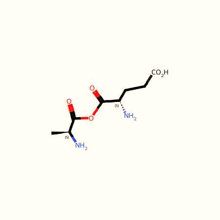 C[C@H](N)C(=O)OC(=O)[C@@H](N)CCC(=O)O